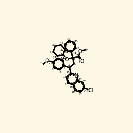 COC(=O)C(CC(c1ccc(OC)cc1)c1ccc2ccc(Cl)cc2n1)(OC1CCCCC1)c1ccccc1